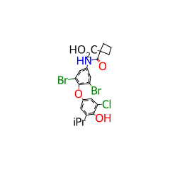 CC(C)c1cc(Oc2c(Br)cc(NC(=O)C3(C(=O)O)CCC3)cc2Br)cc(Cl)c1O